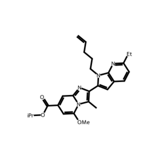 C=CCCCn1c(-c2nc3cc(C(=O)OC(C)C)cc(OC)n3c2C)cc2ccc(CC)nc21